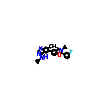 Cc1cc2ncnc(NC3CC3)c2cc1-c1cccc(CN(C(=O)c2cccc(F)c2)C2CC2)c1